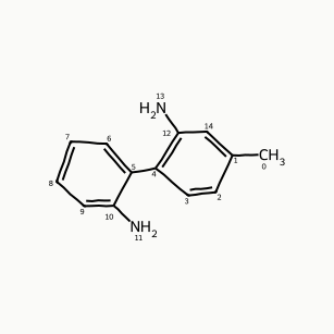 Cc1ccc(-c2ccccc2N)c(N)c1